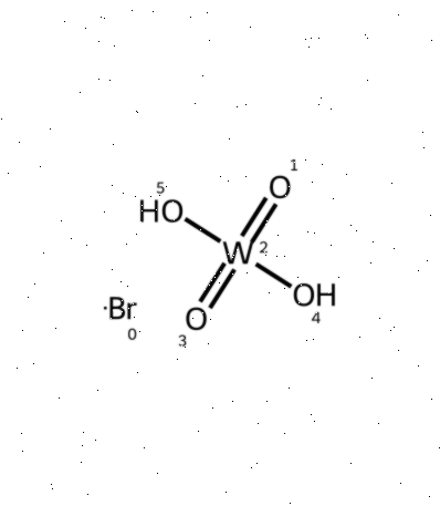 [Br].[O]=[W](=[O])([OH])[OH]